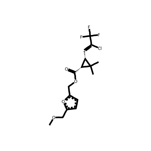 COCc1ccc(COC(=O)[C@@H]2[C@H](/C=C(\Cl)C(F)(F)F)C2(C)C)o1